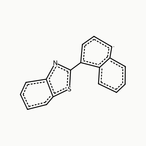 [c]1ccc(-c2nc3ccccc3s2)c2ccccc12